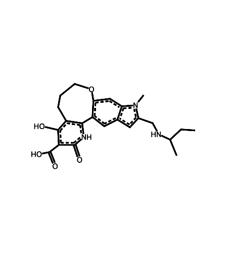 CCC(C)NCc1cc2cc3c(cc2n1C)OCCCc1c-3[nH]c(=O)c(C(=O)O)c1O